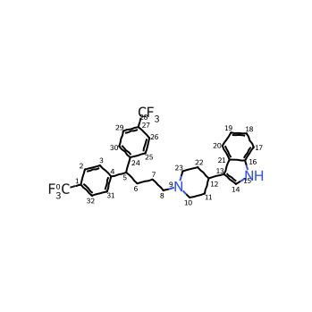 FC(F)(F)c1ccc(C(CCCN2CCC(c3c[nH]c4ccccc34)CC2)c2ccc(C(F)(F)F)cc2)cc1